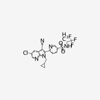 C[C@@H](NS(=O)(=O)c1ccc(-c2c(C#N)c3cc(Cl)cnc3n2CC2CC2)nc1)C(F)(F)F